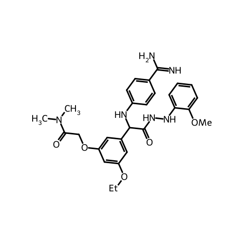 CCOc1cc(OCC(=O)N(C)C)cc(C(Nc2ccc(C(=N)N)cc2)C(=O)NNc2ccccc2OC)c1